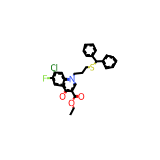 CCOC(=O)c1cn(CCCSC(c2ccccc2)c2ccccc2)c2cc(Cl)c(F)cc2c1=O